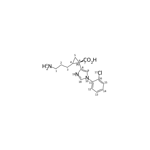 NCCCC1C[C@]1(C(=O)O)c1cn(-c2ccccc2Cl)cn1